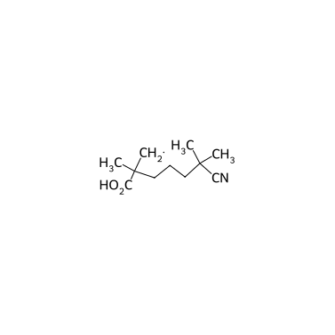 [CH2]C(C)(CCCC(C)(C)C#N)C(=O)O